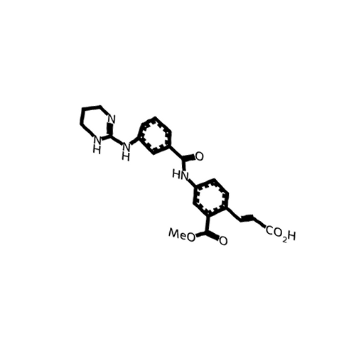 COC(=O)c1cc(NC(=O)c2cccc(NC3=NCCCN3)c2)ccc1C=CC(=O)O